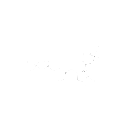 CC(C)(C)OC(=O)CCC(CO)CC1COC(C)(C)N1C(=O)OC(C)(C)C